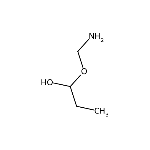 CCC(O)OCN